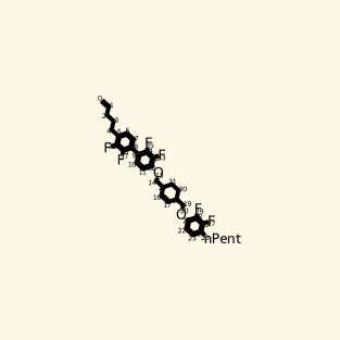 C=CCCCc1ccc(-c2ccc(OCC3C=CC(COc4ccc(CCCCC)c(F)c4F)CC3)c(F)c2F)c(F)c1F